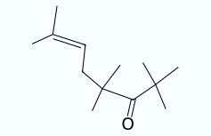 CC(C)=CCC(C)(C)C(=O)C(C)(C)C